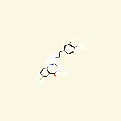 Cc1ccc(CCNC2=Nc3ccc(Cl)cc3C(=O)N(C)C2)cc1C